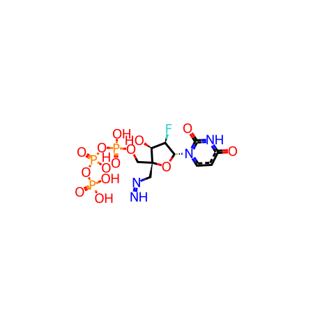 N=NC[C@]1(COP(=O)(O)OP(=O)(O)OP(=O)(O)O)O[C@@H](n2ccc(=O)[nH]c2=O)[C@H](F)[C@@H]1O